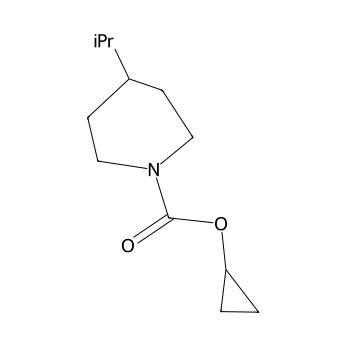 CC(C)C1CCN(C(=O)OC2CC2)CC1